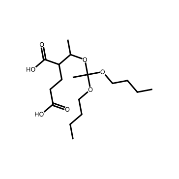 CCCCOC(C)(OCCCC)OC(C)C(CCC(=O)O)C(=O)O